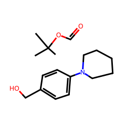 CC(C)(C)OC=O.OCc1ccc(N2CCCCC2)cc1